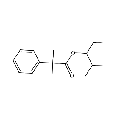 CCC(OC(=O)C(C)(C)c1ccccc1)C(C)C